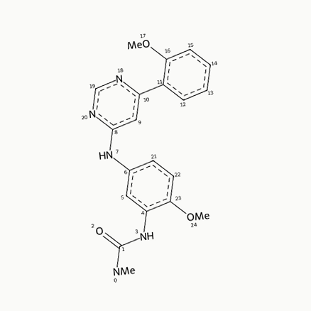 CNC(=O)Nc1cc(Nc2cc(-c3ccccc3OC)ncn2)ccc1OC